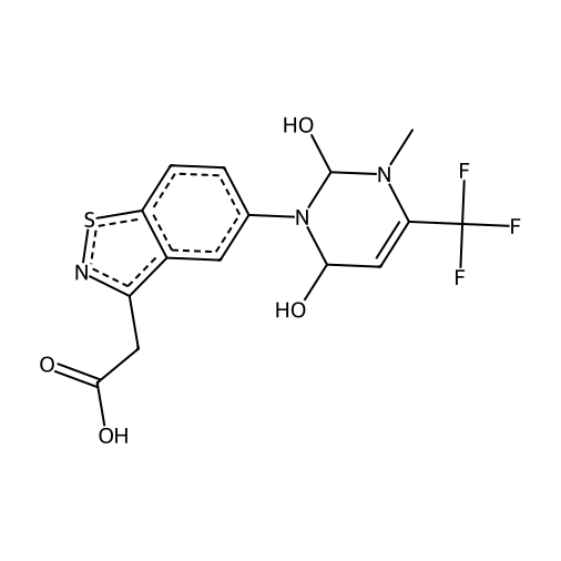 CN1C(C(F)(F)F)=CC(O)N(c2ccc3snc(CC(=O)O)c3c2)C1O